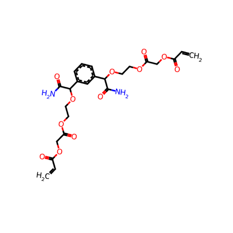 C=CC(=O)OCC(=O)OCCOC(C(N)=O)c1cccc(C(OCCOC(=O)COC(=O)C=C)C(N)=O)c1